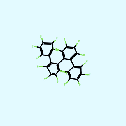 Fc1c(F)c(F)c(-c2c(F)c(F)c(F)c(F)c2-c2c(F)c(F)c(F)c(F)c2-c2c(F)c(F)c(F)c(F)c2F)c(F)c1F